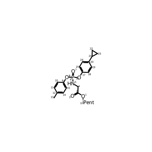 CCC[C@H](C)OC(=O)CNP(=O)(Oc1ccc(C)cc1)Oc1ccc(C2CC2)cc1